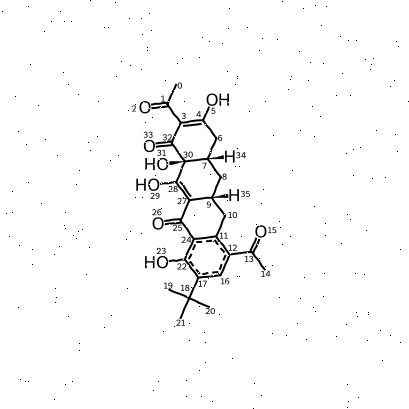 CC(=O)C1=C(O)C[C@@H]2C[C@@H]3Cc4c(C(C)=O)cc(C(C)(C)C)c(O)c4C(=O)C3=C(O)[C@]2(O)C1=O